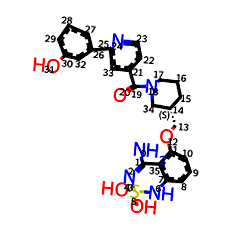 NC1=NS(O)(O)Nc2cccc(OC[C@H]3CCCN(C(=O)c4ccnc(-c5cccc(O)c5)c4)C3)c21